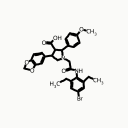 CCc1cc(Br)cc(CC)c1NC(=O)CN1CC(c2ccc3c(c2)OCO3)C(C(=O)O)C1c1ccc(OC)cc1